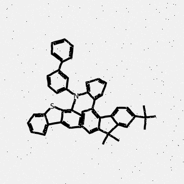 CC(C)(C)c1ccc2c(c1)C(C)(C)c1cccc(-c3ccccc3N(c3cccc(-c4ccccc4)c3)c3cccc4c3sc3ccccc34)c1-2